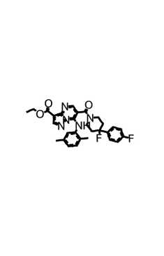 CCOC(=O)c1cnn2c(Nc3cc(C)ccc3C)c(C(=O)N3CCC(F)(c4ccc(F)cc4)CC3)cnc12